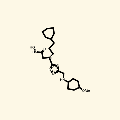 COC1CCC(NCc2noc([C@H](CCCC3CCCCC3)CC(=O)NO)n2)CC1